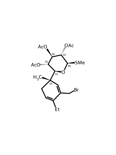 CCC1=CC[C@](C)([C@@H]2O[C@H](SC)[C@@H](OC(C)=O)[C@H](OC(C)=O)[C@H]2OC(C)=O)C=C1CBr